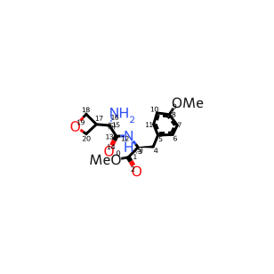 COC(=O)[C@H](Cc1ccc(OC)cc1)NC(=O)[C@@H](N)C1COC1